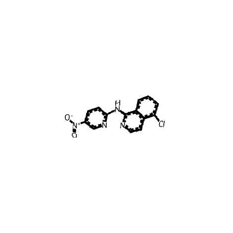 O=[N+]([O-])c1ccc(Nc2nccc3c(Cl)cccc23)nc1